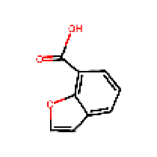 O=C(O)c1cccc2[c]coc12